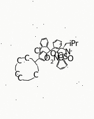 CC(C)C[C@H](CC(=O)OC(c1ccccc1)(c1ccc(C2CCCCCCCCCCCCCC2)cc1)c1ccccc1Cl)N(C)S(=O)(=O)c1ccccc1[N+](=O)[O-]